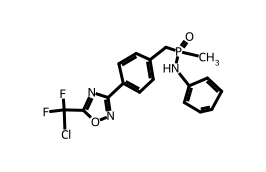 CP(=O)(Cc1ccc(-c2noc(C(F)(F)Cl)n2)cc1)Nc1ccccc1